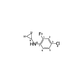 Fc1cc(Cl)ccc1NC1CC1